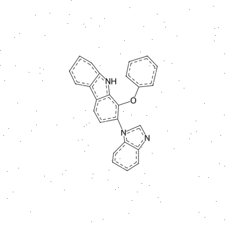 c1ccc(Oc2c(-n3cnc4ccccc43)ccc3c2[nH]c2ccccc23)cc1